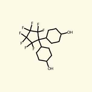 OC1CCC(C2(C3CCC(O)CC3)C(F)(F)C(F)(F)C(F)(F)C2(F)F)CC1